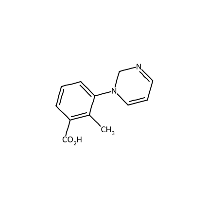 Cc1c(C(=O)O)cccc1N1C=CC=NC1